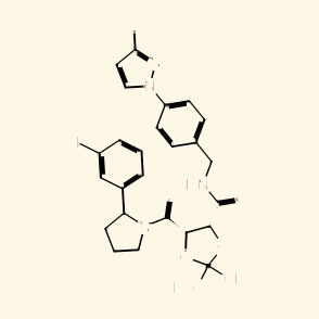 Cc1ccn(-c2ccc(CNC(=O)[C@@H]3OC(C)(C)O[C@H]3C(=O)N3CCCC3c3cccc(Cl)c3)cc2)n1